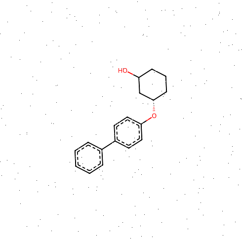 OC1CCC[C@H](Oc2ccc(-c3ccccc3)cc2)C1